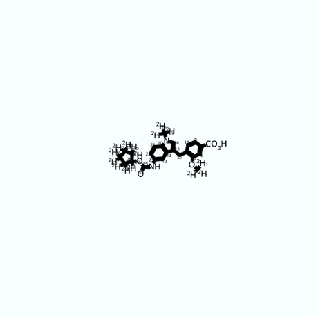 [2H]C([2H])([2H])Oc1cc(C(=O)O)ccc1Cc1cn(C([2H])([2H])[2H])c2ccc(NC(=O)OC3([2H])C([2H])([2H])C([2H])([2H])C([2H])([2H])C3([2H])[2H])cc12